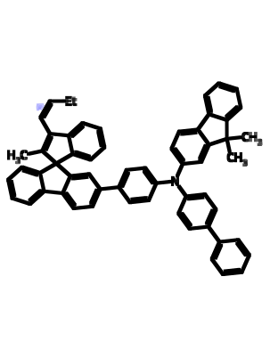 CC/C=C\C1=C(C)C2(c3ccccc31)c1ccccc1-c1ccc(-c3ccc(N(c4ccc(-c5ccccc5)cc4)c4ccc5c(c4)C(C)(C)c4ccccc4-5)cc3)cc12